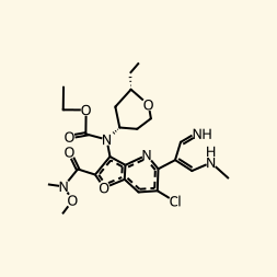 CCOC(=O)N(c1c(C(=O)N(C)OC)oc2cc(Cl)c(/C(C=N)=C/NC)nc12)[C@H]1CCO[C@@H](CC)C1